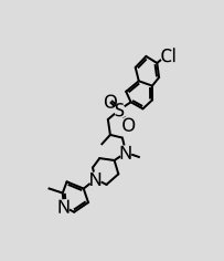 Cc1cc(N2CCC(N(C)CC(C)CS(=O)(=O)c3ccc4cc(Cl)ccc4c3)CC2)ccn1